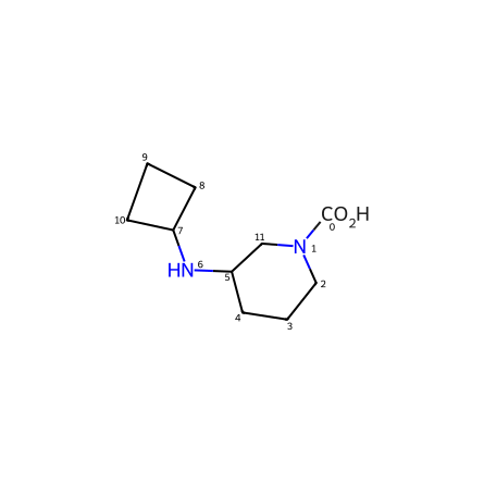 O=C(O)N1CCCC(NC2CCC2)C1